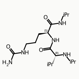 CC(C)NC(=O)[C@H](CCCNC(N)=O)NC(=O)[C@H](NC(C)C)C(C)C